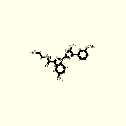 COc1cccc(-c2nc(-n3nc(C(=O)NCCO)c4cc(C(F)(F)F)ccc43)sc2C(C)C)c1